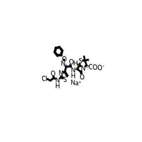 CC1(C)S[C@@H]2[C@@H](NC(=O)/C(=N\Oc3ccccc3)c3csc(NC(=O)CCl)n3)C(=O)N2[C@H]1C(=O)[O-].[Na+]